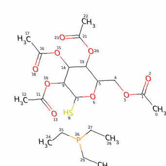 CC(=O)OCC1OC(S)C(OC(C)=O)C(OC(C)=O)C1OC(C)=O.CCP(CC)CC